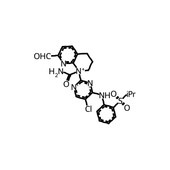 CC(C)S(=O)(=O)c1ccccc1Nc1nc([N+]2(C(N)=O)CCCc3ccc(C=O)nc32)ncc1Cl